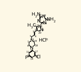 Cc1c(C=CCN2CCN(c3cc(F)cc(Cl)c3)CC2)cnn1-c1nc(N)nc(N)n1.Cl